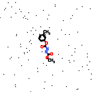 COC(=O)N=NC(=O)Oc1cccc(C)c1